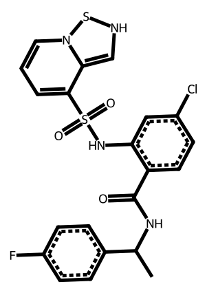 CC(NC(=O)c1ccc(Cl)cc1NS(=O)(=O)C1=CC=CN2SNC=C12)c1ccc(F)cc1